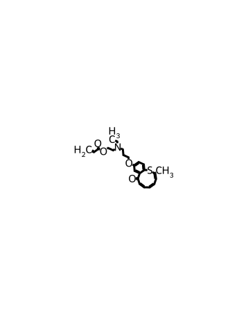 C=CC(=O)OCCN(CC)CCCOc1ccc2sc(C)cccccc(=O)c2c1